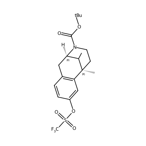 CC1[C@H]2Cc3ccc(OS(=O)(=O)C(F)(F)F)cc3[C@]1(C)CCN2C(=O)OC(C)(C)C